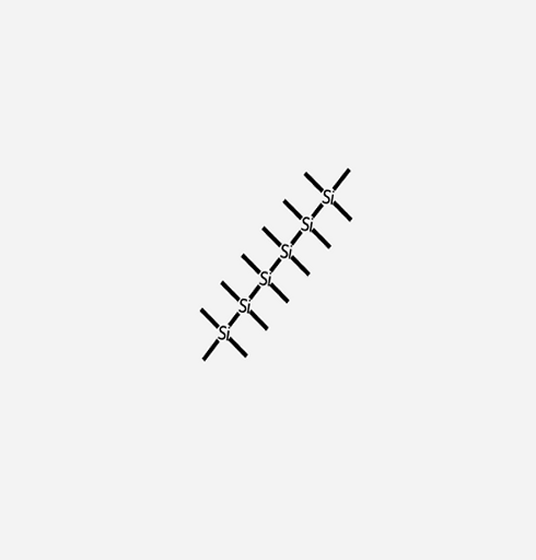 C[Si](C)(C)[Si](C)(C)[Si](C)(C)[Si](C)(C)[Si](C)(C)[Si](C)(C)C